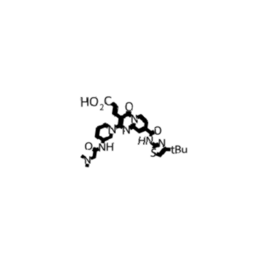 CN(C)CC(=O)NC1CCCN(c2nc3cc(C(=O)Nc4nc(C(C)(C)C)cs4)ccn3c(=O)c2C=CC(=O)O)C1